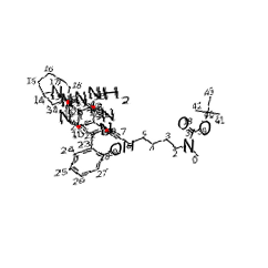 CN(CCCCCC#Cc1cnc(N2C3CCC2CN(c2cc(-c4ccccc4O)nnc2N)C3)nc1)C(=O)OC(C)(C)C